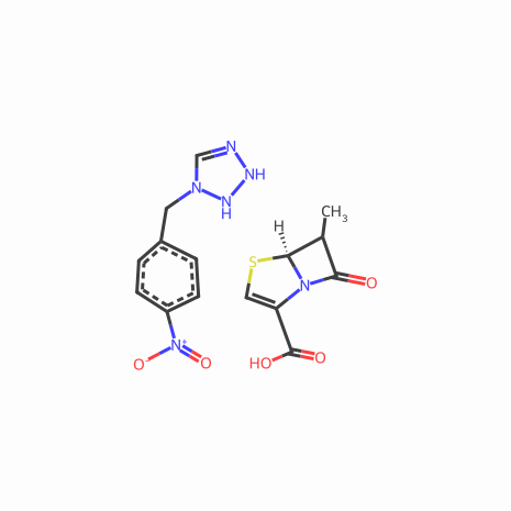 CC1C(=O)N2C(C(=O)O)=CS[C@@H]12.O=[N+]([O-])c1ccc(CN2C=NNN2)cc1